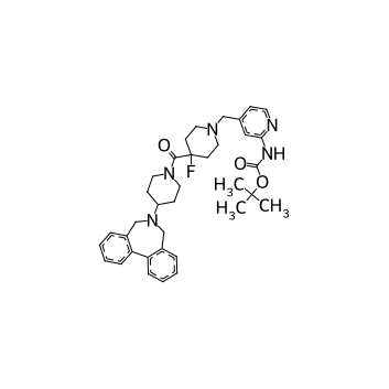 CC(C)(C)OC(=O)Nc1cc(CN2CCC(F)(C(=O)N3CCC(N4Cc5ccccc5-c5ccccc5C4)CC3)CC2)ccn1